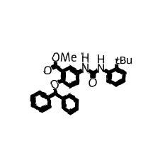 COC(=O)c1cc(NC(=O)Nc2ccccc2C(C)(C)C)ccc1OC(c1ccccc1)c1ccccc1